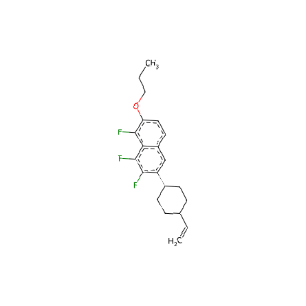 C=CC1CCC(c2cc3ccc(OCCC)c(F)c3c(F)c2F)CC1